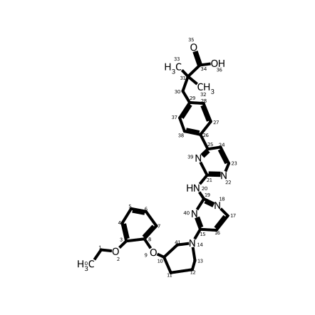 CCOc1ccccc1OC1CCCN(c2ccnc(Nc3nccc(-c4ccc(CC(C)(C)C(=O)O)cc4)n3)n2)C1